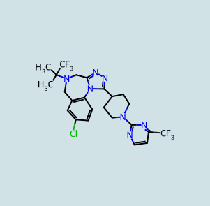 CC(C)(N1Cc2cc(Cl)ccc2-n2c(nnc2C2CCN(c3nccc(C(F)(F)F)n3)CC2)C1)C(F)(F)F